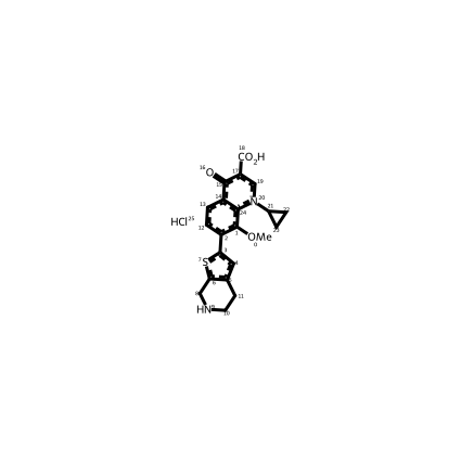 COc1c(-c2cc3c(s2)CNCC3)ccc2c(=O)c(C(=O)O)cn(C3CC3)c12.Cl